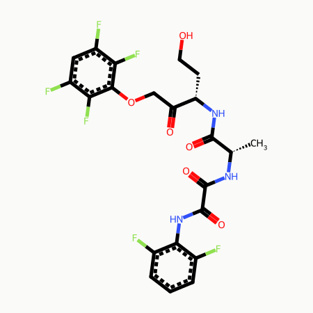 C[C@H](NC(=O)C(=O)Nc1c(F)cccc1F)C(=O)N[C@@H](CCO)C(=O)COc1c(F)c(F)cc(F)c1F